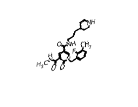 CNC(=O)c1cc(C(=O)NCCCC2CCNCC2)cn(Cc2cccc(C)c2F)c1=O